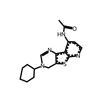 CC(=O)Nc1ccnc2sc3c(c12)N=CN(C1CCCCC1)C3